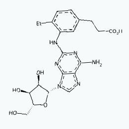 CCc1ccc(CCC(=O)O)cc1Nc1nc(N)c2ncn([C@@H]3O[C@H](CO)[C@@H](O)[C@H]3O)c2n1